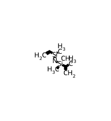 C=C[Si](C)=N[Si](C)(C)C(=C)C